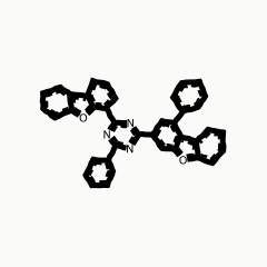 c1ccc(-c2nc(-c3cc(-c4ccccc4)c4c(c3)oc3ccccc34)nc(-c3cccc4c3oc3ccccc34)n2)cc1